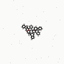 c1ccc(N(c2ccc(-c3ccccc3-n3c4ccccc4c4ccccc43)cc2)c2cccc3oc4c5ccccc5ccc4c23)c(-c2cccc3c2oc2ccccc23)c1